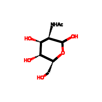 CC(=O)N[C@@H]1C(O)O[C@H](CO)[C@H](O)[C@@H]1O